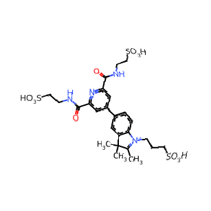 CC1=[N+](CCCS(=O)(=O)O)c2ccc(-c3cc(C(=O)NCCS(=O)(=O)O)nc(C(=O)NCCS(=O)(=O)O)c3)cc2C1(C)C